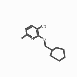 Cc1ccc(C#N)c(OCC2CCCCC2)n1